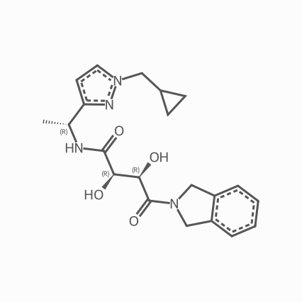 C[C@@H](NC(=O)[C@H](O)[C@@H](O)C(=O)N1Cc2ccccc2C1)c1ccn(CC2CC2)n1